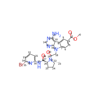 COC(=O)c1ccc2c(c1)c1c(N)ncnc1n2CC(=O)N1[C@H](C)CC[C@H]1C(=O)Nc1cccc(Br)n1